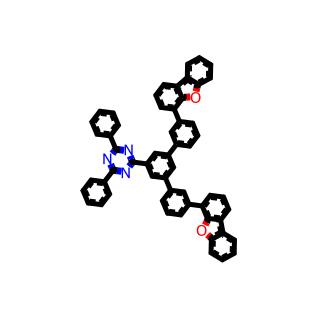 c1ccc(-c2nc(-c3ccccc3)nc(-c3cc(-c4cccc(-c5cccc6c5oc5ccccc56)c4)cc(-c4cccc(-c5cccc6c5oc5ccccc56)c4)c3)n2)cc1